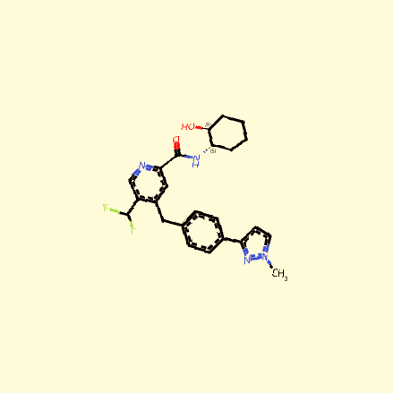 Cn1ccc(-c2ccc(Cc3cc(C(=O)N[C@H]4CCCC[C@@H]4O)ncc3C(F)F)cc2)n1